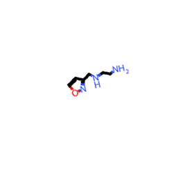 NCCNCc1ccon1